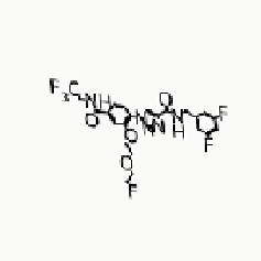 O=C(NCC(F)(F)F)c1ccc(-n2cc(C(=O)NCc3cc(F)cc(F)c3)nn2)c(OCCOCCF)c1